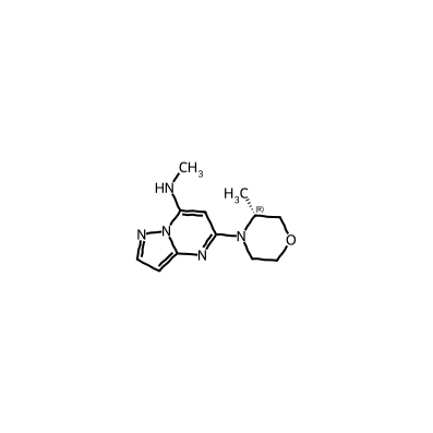 CNc1cc(N2CCOC[C@H]2C)nc2ccnn12